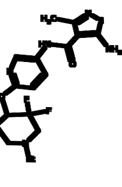 CCN1CCC(Oc2ccc(NC(=O)c3c(C)nsc3N)cn2)C(F)(F)C1